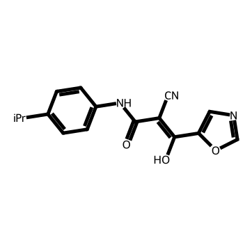 CC(C)c1ccc(NC(=O)/C(C#N)=C(\O)c2cnco2)cc1